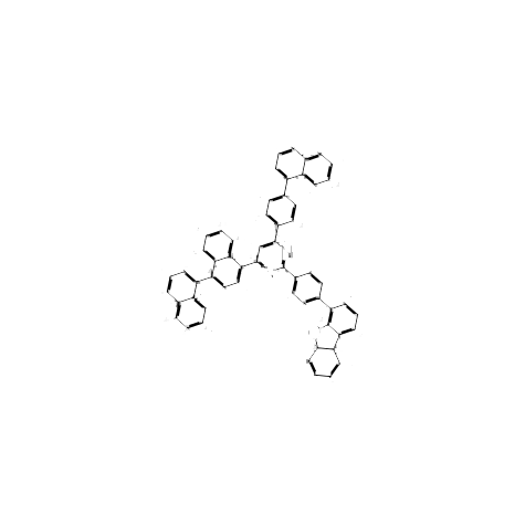 C1=CC2Oc3c(-c4ccc(-c5nc(-c6ccc(-c7cccc8ccccc78)cc6)cc(-c6ccc(-c7cccc8ccccc78)c7ccccc67)n5)cc4)cccc3C2C=C1